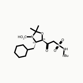 CCCCNS(=O)(=O)CC(=O)[C@@H]1OC(C)(C)N(C(=O)O)[C@H]1CC1CCCCC1